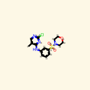 Cc1cnc(Cl)nc1Nc1cccc(S(=O)(=O)N2CCOCC2)c1